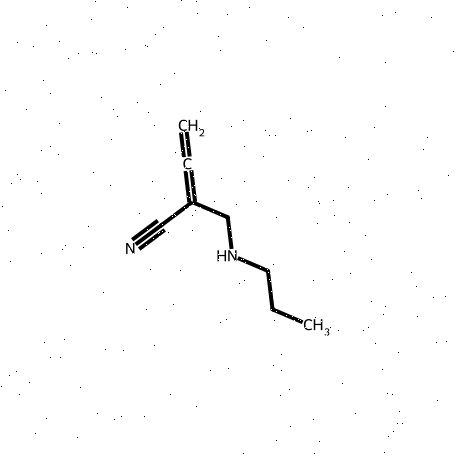 C=C=C(C#N)CNCCC